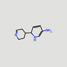 NC1=CNC(C2CC=NCC2)C=C1